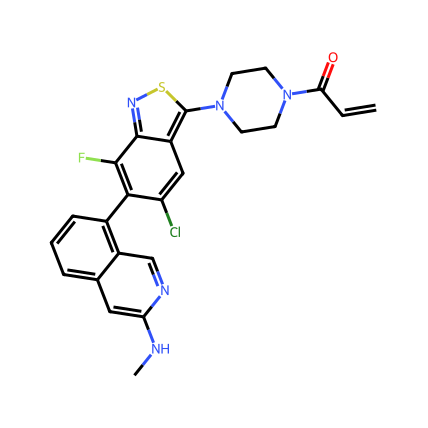 C=CC(=O)N1CCN(c2snc3c(F)c(-c4cccc5cc(NC)ncc45)c(Cl)cc23)CC1